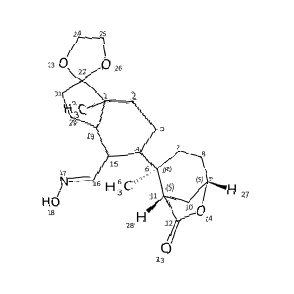 CC12CCC([C@@]3(C)CC[C@H]4C[C@@H]3C(=O)O4)C(C=NO)C1CCC21OCCO1